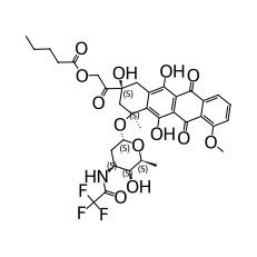 CCCCC(=O)OCC(=O)[C@]1(O)Cc2c(O)c3c(c(O)c2[C@@](C)(O[C@H]2C[C@H](NC(=O)C(F)(F)F)[C@H](O)[C@H](C)O2)C1)C(=O)c1c(OC)cccc1C3=O